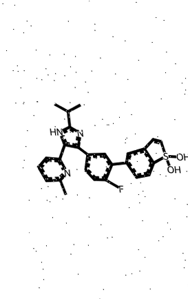 Cc1cccc(-c2[nH]c(C(C)C)nc2-c2ccc(F)c(-c3ccc4c(c3)C=CS4(O)O)c2)n1